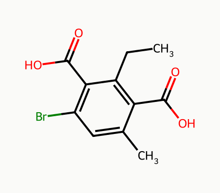 CCc1c(C(=O)O)c(C)cc(Br)c1C(=O)O